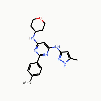 COc1ccc(-c2nc(Nc3cc(C)[nH]n3)cc(NC3CCOCC3)n2)cc1